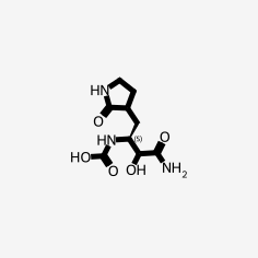 NC(=O)C(O)[C@H](CC1CCNC1=O)NC(=O)O